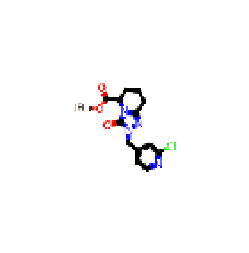 CC(C)(C)OC(=O)C1CCCc2nn(Cc3ccnc(Cl)c3)c(=O)n21